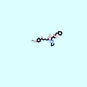 CC(C)Oc1ccc(C(=O)CCCC(=O)N[C@H](CN2CCCC2)[C@@H](O)C2=COC(Cc3ccccc3)O2)cc1